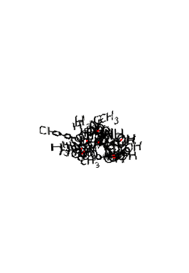 COC(=O)C(CNC(C)(C)C(O)C(C)OC(C)OC1C(Oc2c3cc4cc2Oc2ccc(cc2Cl)[C@@H](O)[C@@H]2NC(=O)C(NC(=O)[C@@H]4NC(=O)[C@H](CC(N)=O)NC(=O)C(NC(=O)[C@H](N)CC(C)C)[C@H](O)c4ccc(c(Cl)c4)O3)c3ccc(O)c(c3)-c3c(O)cc(O)cc3[C@H](C(=O)O)NC2=O)OC(CO)C(O)C1O)OCc1ccc(-c2ccc(Cl)cc2)cc1